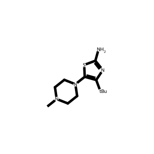 CN1CCN(c2sc(N)nc2C(C)(C)C)CC1